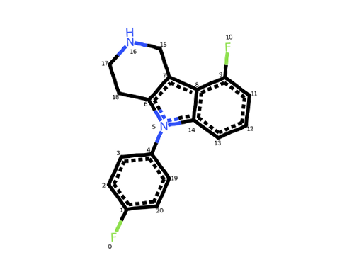 Fc1ccc(-n2c3c(c4c(F)cccc42)CNCC3)cc1